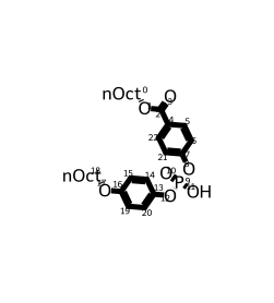 CCCCCCCCOC(=O)c1ccc(OP(=O)(O)Oc2ccc(OCCCCCCCC)cc2)cc1